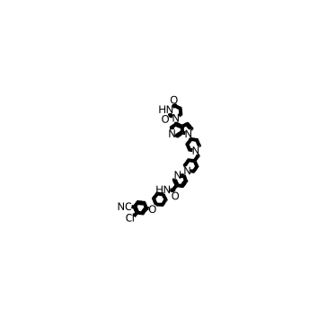 N#Cc1ccc(OC2CCC(NC(=O)c3ccc(N4CCC(CN5CCC(n6ccc7c(N8CCC(=O)NC8=O)cncc76)CC5)CC4)nc3)CC2)cc1Cl